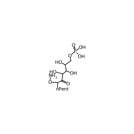 CCCCCC(ON)C(=O)C(O)C(O)C(O)COP(=O)(O)O